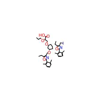 CCCOC(CO[C@@H]1CCC[C@H](OCc2nc(-c3c(C)cccc3C)oc2CC)C1)C(=O)O.CCc1oc(-c2c(C)cccc2C)nc1CI